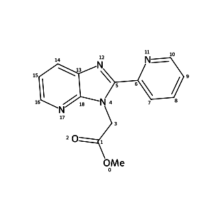 COC(=O)Cn1c(-c2ccccn2)nc2cccnc21